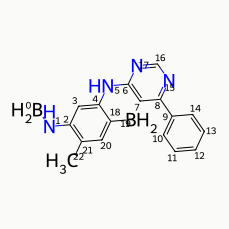 BNc1cc(Nc2cc(-c3ccccc3)ncn2)c(B)cc1C